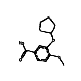 COc1ccc(C(=O)O)cc1OC1CCSC1